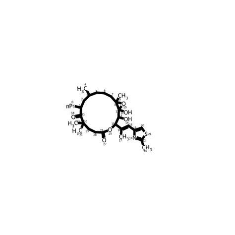 CCCC1CC(C)CCCC2(C)OC2(O)C(O)C(C(C)=Cc2csc(C)n2)OC(=O)CCC(C)(C)C1=O